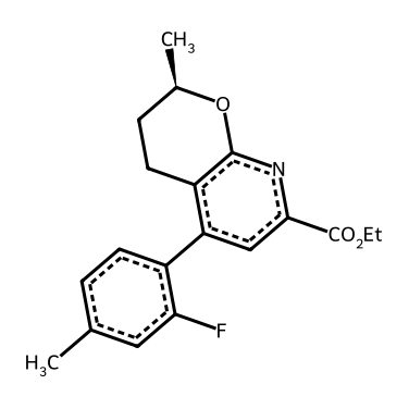 CCOC(=O)c1cc(-c2ccc(C)cc2F)c2c(n1)O[C@H](C)CC2